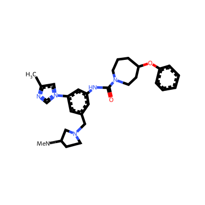 CNC1CCN(Cc2cc(NC(=O)N3CCCC(Oc4ccccc4)CC3)cc(-n3cnc(C)c3)c2)C1